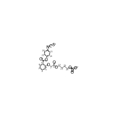 O=C(COc1ccccc1C(=O)Oc1ccc(N=C=S)cc1)OCCCCO[N+](=O)[O-]